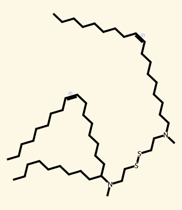 CCCCCCCC/C=C\CCCCCCCCN(C)CCSSCCN(C)C(CCCCCCC/C=C\CCCCCCCC)CCCCCCCCC